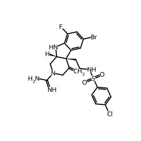 C=C1CN(C(=N)N)C[C@@H]2Nc3c(F)cc(Br)cc3[C@]12CCNS(=O)(=O)c1ccc(Cl)cc1